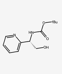 CC(C)(C)OC(=O)N[C@H](CO)c1ccccn1